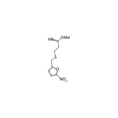 COC(=N)CCSCc1ccc([N+](=O)[O-])o1